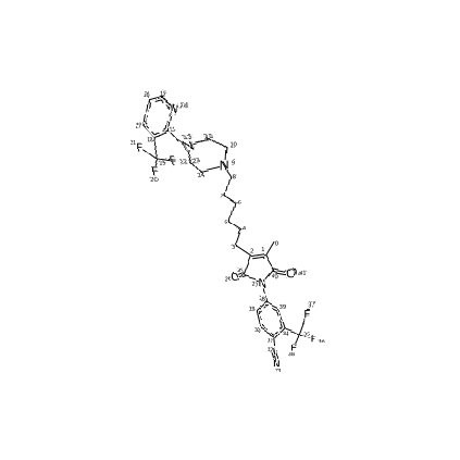 CC1=C(CCCCCCN2CCN(c3ncccc3C(F)(F)F)CC2)C(=O)N(c2ccc(C#N)c(C(F)(F)F)c2)C1=O